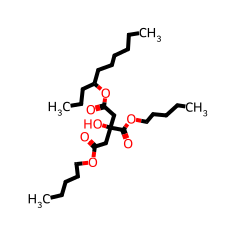 CCCCCCC(CCC)OC(=O)CC(O)(CC(=O)OCCCCC)C(=O)OCCCCC